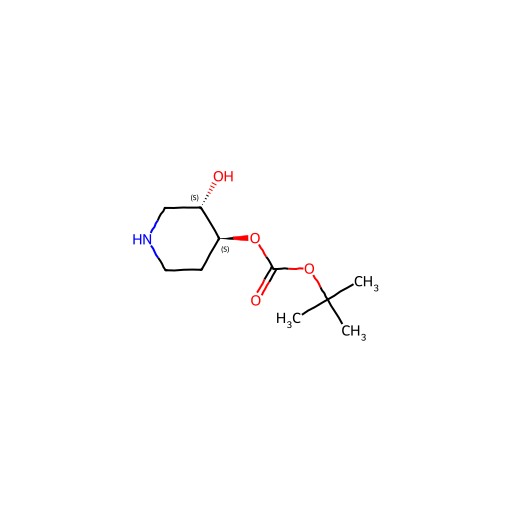 CC(C)(C)OC(=O)O[C@H]1CCNC[C@@H]1O